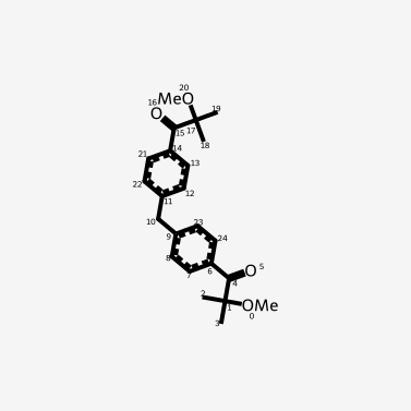 COC(C)(C)C(=O)c1ccc(Cc2ccc(C(=O)C(C)(C)OC)cc2)cc1